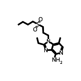 CCCCS(=O)(=O)CCCn1c(CC)nc2c(N)ncc(C)c21